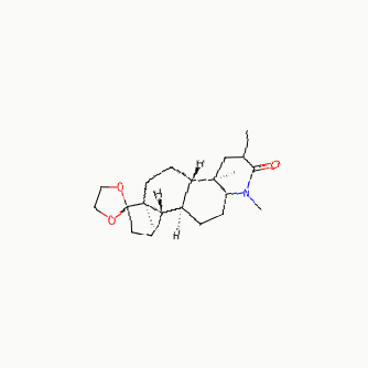 CC1C[C@@]2(C)C(CC[C@@H]3[C@@H]2CC[C@@]2(C)[C@H]3CCC23OCCO3)N(C)C1=O